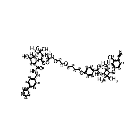 CC(C)(C)[C@H](NC(=O)COCCOCCCCOc1ccc(C(=O)N[C@H]2C(C)(C)[C@H](Oc3ccc(C#N)c(Cl)c3)C2(C)C)cc1)C(=O)N1C[C@H](O)C[C@H]1C(=O)NCc1ccc(-c2cncs2)cc1